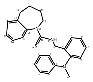 CN(c1ccccc1)c1ccccc1CNC(=S)N1CCCCc2ccccc21